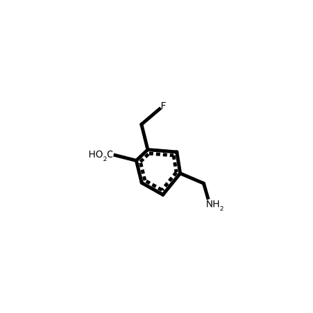 NCc1ccc(C(=O)O)c(CF)c1